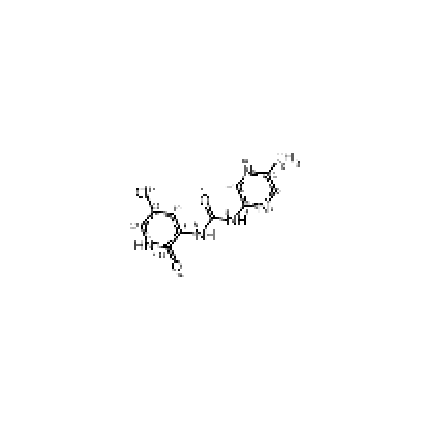 Cc1cnc(NC(=O)Nc2cc(Cl)c[nH]c2=O)cn1